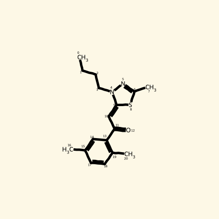 CCCCN1N=C(C)S/C1=C\C(=O)c1cc(C)ccc1C